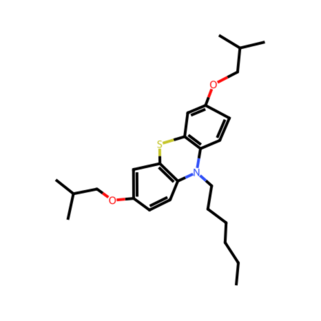 CCCCCCN1c2ccc(OCC(C)C)cc2Sc2cc(OCC(C)C)ccc21